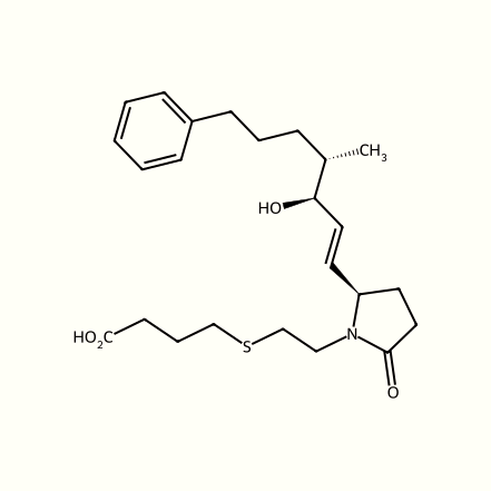 C[C@@H](CCCc1ccccc1)[C@H](O)/C=C/[C@H]1CCC(=O)N1CCSCCCC(=O)O